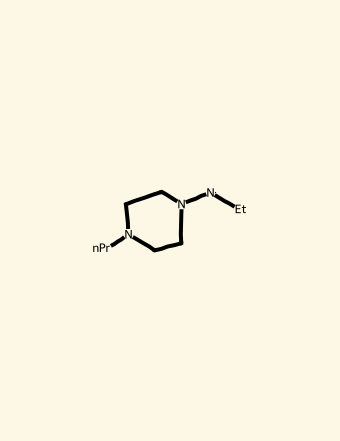 CCCN1CCN([N]CC)CC1